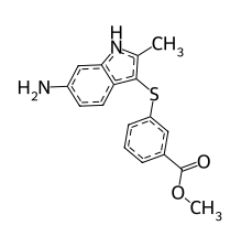 COC(=O)c1cccc(Sc2c(C)[nH]c3cc(N)ccc23)c1